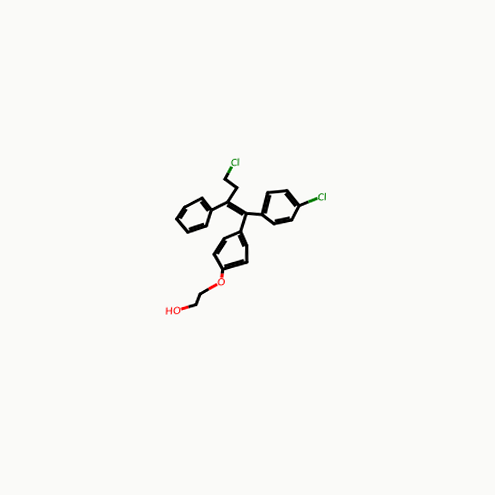 OCCOc1ccc(C(=C(CCCl)c2ccccc2)c2ccc(Cl)cc2)cc1